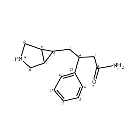 NC(=O)CC(CC1C2CNCC21)c1ccccc1